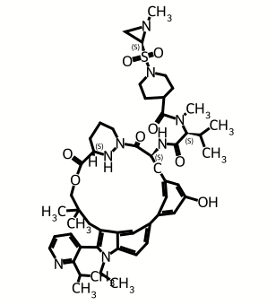 CCn1c(-c2cccnc2C(C)C)c2c3cc(ccc31)-c1cc(O)cc(c1)C[C@H](NC(=O)[C@H](C(C)C)N(C)C(=O)C1CCN(S(=O)(=O)[C@H]3CN3C)CC1)C(=O)N1CCC[C@H](N1)C(=O)OCC(C)(C)C2